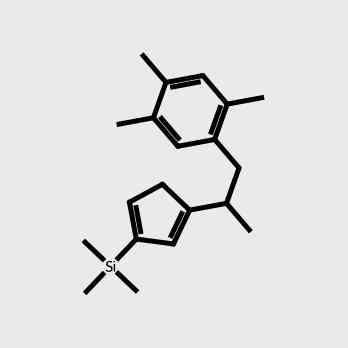 Cc1cc(C)c(CC(C)C2=CC([Si](C)(C)C)=CC2)cc1C